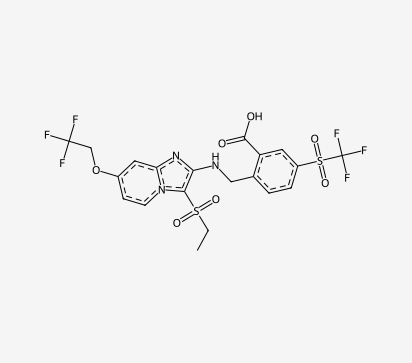 CCS(=O)(=O)c1c(NCc2ccc(S(=O)(=O)C(F)(F)F)cc2C(=O)O)nc2cc(OCC(F)(F)F)ccn12